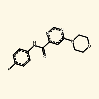 O=C(Nc1ccc(F)cc1)c1cc(N2CCOCC2)ncn1